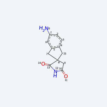 Nc1ccc2c(c1)CC1(CC(=O)NC1=O)C2